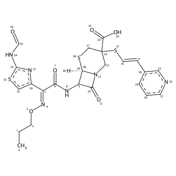 CCCON=C(C(=O)NC1C(=O)N2CC(SC=Cc3cccnc3)(C(=O)O)CS[C@H]12)c1csc(NC=O)n1